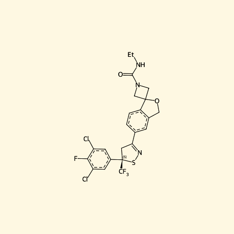 CCNC(=O)N1CC2(C1)OCc1cc(C3=NS[C@@](c4cc(Cl)c(F)c(Cl)c4)(C(F)(F)F)C3)ccc12